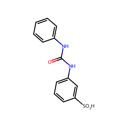 O=C(Nc1ccccc1)Nc1cccc(S(=O)(=O)O)c1